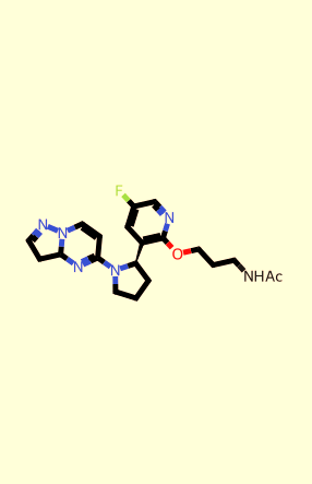 CC(=O)NCCCOc1ncc(F)cc1[C@H]1CCCN1C1=NC2CC=NN2C=C1